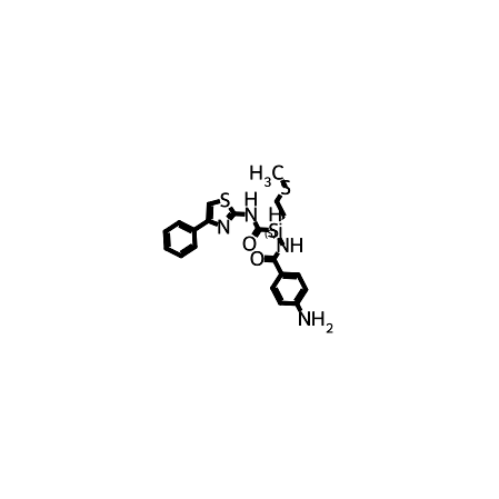 CSCC[Si@H](NC(=O)c1ccc(N)cc1)C(=O)Nc1nc(-c2ccccc2)cs1